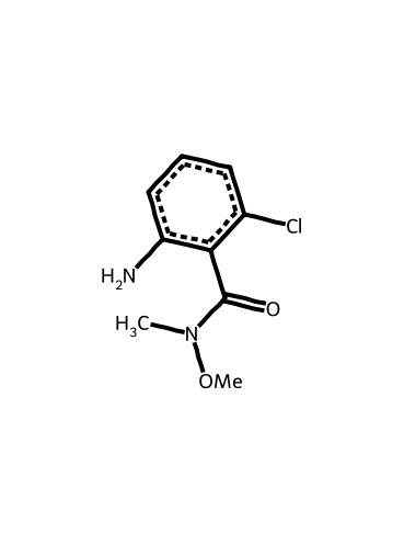 CON(C)C(=O)c1c(N)cccc1Cl